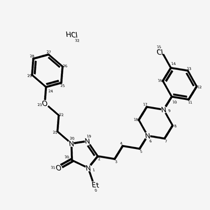 CCn1c(CCCN2CCN(c3cccc(Cl)c3)CC2)nn(CCOc2ccccc2)c1=O.Cl